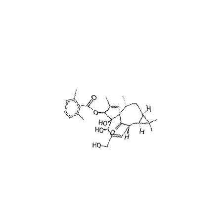 CC1=C[C@]23C(=O)[C@@H](C=C(CO)[C@@H](O)[C@]2(O)[C@H]1OC(=O)c1c(C)cccc1C)[C@H]1[C@@H](C[C@H]3C)C1(C)C